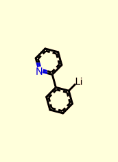 [Li][c]1ccccc1-c1ccccn1